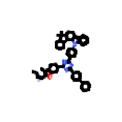 C=C/C=C\c1oc2cc(-c3nc(-c4ccc(-c5ccccc5)cc4)nc(-c4ccc(-n5c6ccccc6c6ccc7c(c65)-c5ccccc5C7(C)C)cc4)n3)ccc2c1C